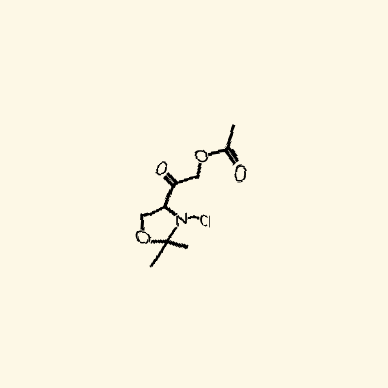 CC(=O)OCC(=O)C1COC(C)(C)N1Cl